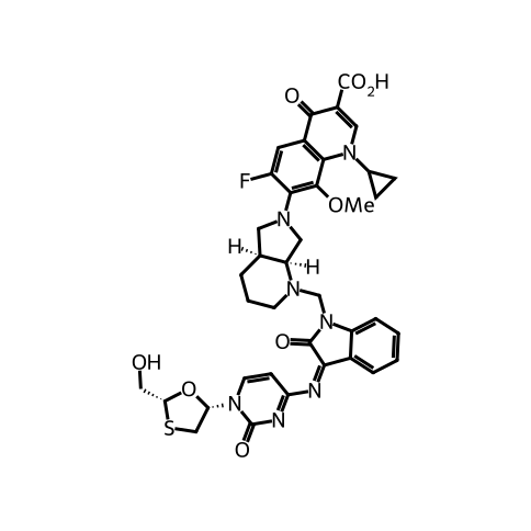 COc1c(N2C[C@@H]3CCCN(CN4C(=O)/C(=N\c5ccn([C@@H]6CS[C@H](CO)O6)c(=O)n5)c5ccccc54)[C@@H]3C2)c(F)cc2c(=O)c(C(=O)O)cn(C3CC3)c12